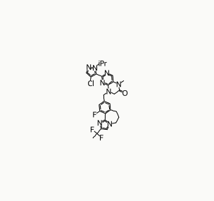 CC(C)n1ncc(Cl)c1-c1ncc2c(n1)N(Cc1cc(F)c3c(c1)CCCn1cc(C(C)(F)F)nc1-3)CC(=O)N2C